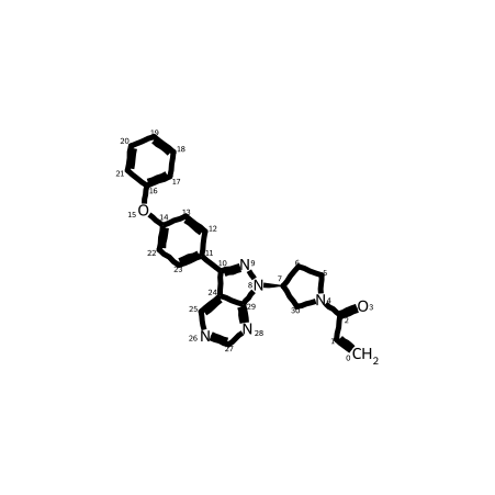 C=CC(=O)N1CC[C@H](n2nc(-c3ccc(Oc4ccccc4)cc3)c3cncnc32)C1